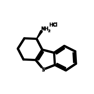 Cl.N[C@@H]1CCCc2sc3ccccc3c21